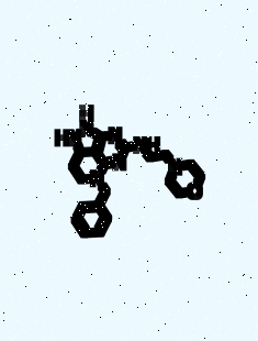 c1ccc(CN2CCC3NNc4nc(NCCN5CCOCC5)nc2c43)cc1